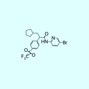 O=C(Nc1ccc(Br)cn1)C(CC1CCCC1)c1ccc(S(=O)(=O)C(F)(F)F)cc1